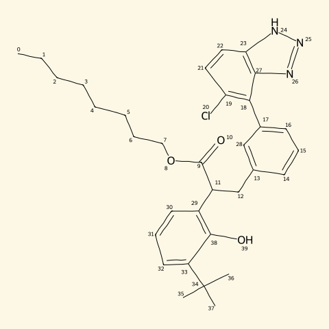 CCCCCCCCOC(=O)C(Cc1cccc(-c2c(Cl)ccc3[nH]nnc23)c1)c1cccc(C(C)(C)C)c1O